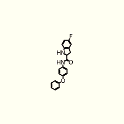 O=C(Nc1ccc(Oc2ccccc2)cc1)C1Cc2cc(F)ccc2N1